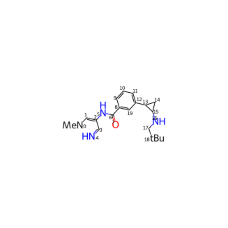 CN/C=C(\C=N)NC(=O)c1cccc(C2CC2NCC(C)(C)C)c1